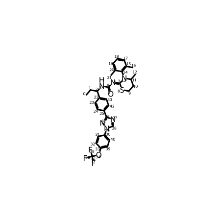 CCC(NC(=O)/N=C1\SCCC(C)N1c1c(C)cccc1C)c1ccc(-c2ncn(-c3ccc(OC(F)(F)F)cc3)n2)cc1